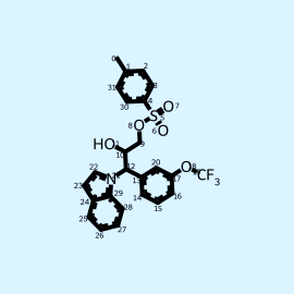 Cc1ccc(S(=O)(=O)OCC(O)C(c2cccc(OC(F)(F)F)c2)n2ccc3ccccc32)cc1